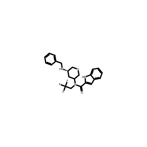 O=C(c1cc2ccccc2[nH]1)N(CC(F)(F)F)C1COC[C@H](NCc2ccccc2)C1